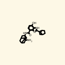 NC12CC3CC(C1)CC(NC(=O)c1ccc(O)c4[nH]c(C5CC6CCC5C6)nc14)(C3)C2